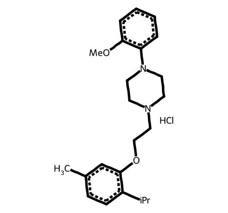 COc1ccccc1N1CCN(CCOc2cc(C)ccc2C(C)C)CC1.Cl